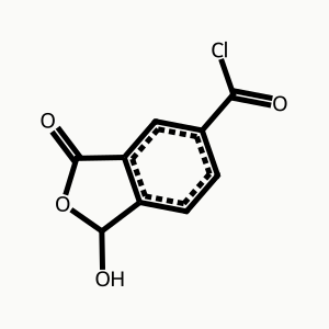 O=C(Cl)c1ccc2c(c1)C(=O)OC2O